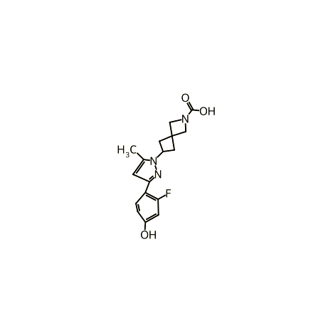 Cc1cc(-c2ccc(O)cc2F)nn1C1CC2(C1)CN(C(=O)O)C2